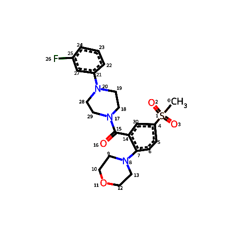 CS(=O)(=O)c1ccc(N2CCOCC2)c(C(=O)N2CCN(c3cccc(F)c3)CC2)c1